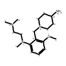 COc1cccc(N(C)CCN(C)C)c1CN1CCC(N)CC1